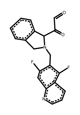 O=CC(=O)C1c2ccccc2CN1Cc1c(F)cc2ncccc2c1F